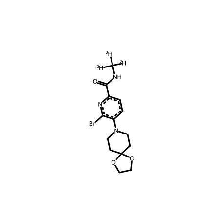 [2H]C([2H])([2H])NC(=O)c1ccc(N2CCC3(CC2)OCCO3)c(Br)n1